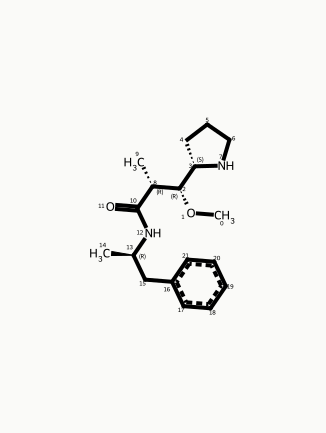 CO[C@@H]([C@@H]1CCCN1)[C@@H](C)C(=O)N[C@H](C)Cc1ccccc1